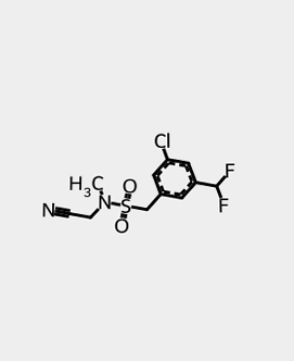 CN(CC#N)S(=O)(=O)Cc1cc(Cl)cc(C(F)F)c1